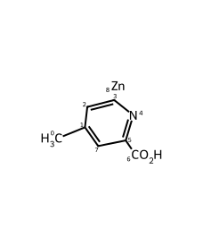 Cc1ccnc(C(=O)O)c1.[Zn]